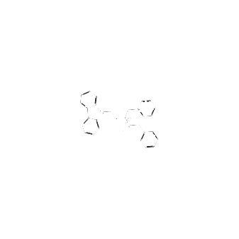 c1ccc(C[SiH2][C@@H](CCn2c3ccccc3c3ccccc32)[SiH2]c2ccccc2)cc1